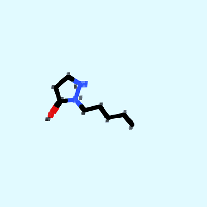 CCCCCN1NCCC1=O